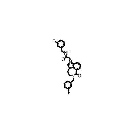 O=C(Cn1cc2c3c(cccc31)C(=O)N(Cc1cccc(F)c1)CC2)NCc1cccc(F)c1